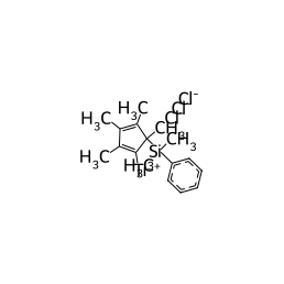 CC1=C(C)C(C)([Si](C)(C)c2ccccc2)[C]([Ti+3])=C1C.[Cl-].[Cl-].[Cl-]